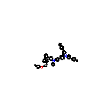 C=CC1=CCC(c2ccc(-n3c4c(c5c3=CCC(C3=CCC(C(C)(C)C)CC3)C=5)C=C(c3ccc(N(c5ccccc5)C5CC=C6c7ccccc7C(CCC[Si](C)(C)CCOc7ccc(C=C)cc7)(C7=CCCC=C7)C6C5)cc3)CC4)cc2)C=C1